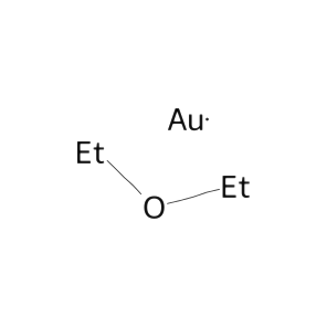 [Au].[CH2]COCC